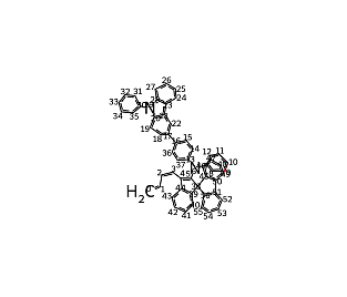 C=C/C=C\C1=C(N(c2ccccc2)c2ccc(-c3ccc4c(c3)c3ccccc3n4-c3ccccc3)cc2)C2(c3ccccc31)c1ccccc1-c1ccccc12